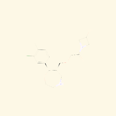 O=C(COC[C@H]1CNCCO[C@H]1c1ccc(Cl)c(Cl)c1)N1CC(O)C1